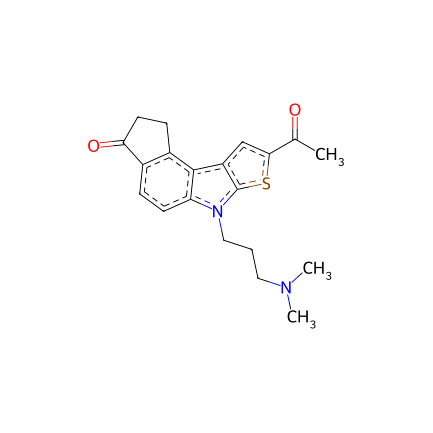 CC(=O)c1cc2c3c4c(ccc3n(CCCN(C)C)c2s1)C(=O)CC4